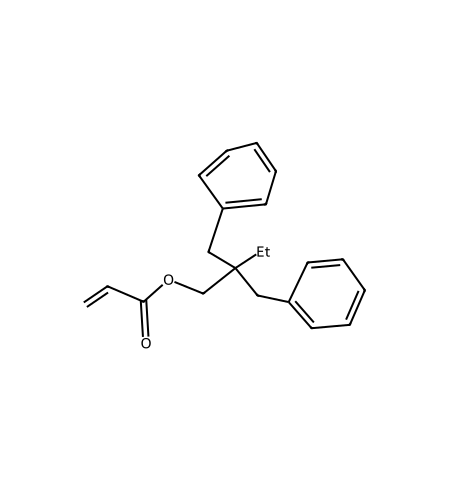 C=CC(=O)OCC(CC)(Cc1ccccc1)Cc1ccccc1